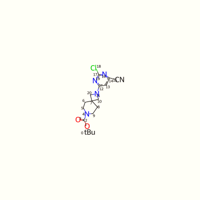 CC(C)(C)OC(=O)N1CCC2(CC1)CN(c1cc(C#N)nc(Cl)n1)C2